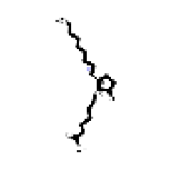 O=C(O)CCCCCC[C@H]1C(=O)CC[C@@H]1/C=C/CCCCCCO